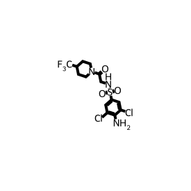 Nc1c(Cl)cc(S(=O)(=O)NCC(=O)N2CCC(C(F)(F)F)CC2)cc1Cl